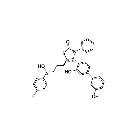 O=C1S[C@H](CCC[C@@H](O)c2ccc(F)cc2)[C@@H](c2ccc(-c3cccc(O)c3)cc2O)N1c1ccccc1